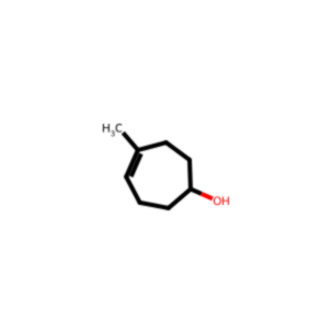 CC1=CCCC(O)CC1